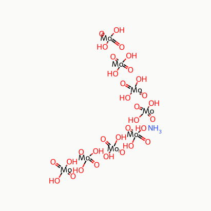 N.[O]=[Mo](=[O])([OH])[OH].[O]=[Mo](=[O])([OH])[OH].[O]=[Mo](=[O])([OH])[OH].[O]=[Mo](=[O])([OH])[OH].[O]=[Mo](=[O])([OH])[OH].[O]=[Mo](=[O])([OH])[OH].[O]=[Mo](=[O])([OH])[OH].[O]=[Mo](=[O])([OH])[OH]